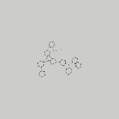 CC1(C)c2ccccc2-c2ccc3c(c21)c1cc(-c2ccc4c(c2)-c2ccccc2C4c2cccc4ccccc24)ccc1n3-c1cccc(-c2ccccc2)c1